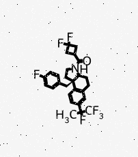 CC(F)(c1ccc2c(c1)CC[C@H]1N(C(=O)C3CC(F)(F)C3)CC[C@@]21Cc1ccc(F)cc1)C(F)(F)F